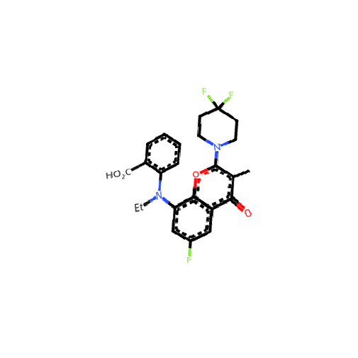 CCN(c1ccccc1C(=O)O)c1cc(F)cc2c(=O)c(C)c(N3CCC(F)(F)CC3)oc12